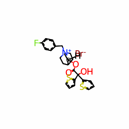 O=C(O[C@H]1C[N+]2(Cc3ccc(F)cc3)CCC1CC2)C(O)(c1cccs1)c1cccs1.[Br-]